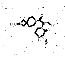 CC(C)C[C@@H]1NCCN([C@@H](CC(C)C)C(=O)N2CCC3(CC2)CN(C)C3)C1=O